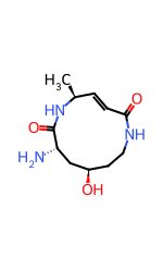 C[C@H]1/C=C/C(=O)NCC[C@@H](O)C[C@H](N)C(=O)N1